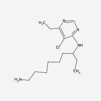 CCc1ncnc(NC(CC)CCCCCCN)c1Cl